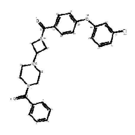 O=C(c1ccccc1)N1CCN(C2CN(C(=O)c3ccc(Oc4cccc(Cl)c4)cc3)C2)CC1